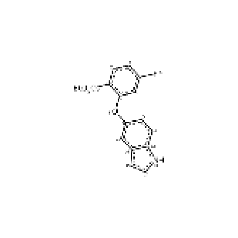 CCOC(=O)c1ccc(F)cc1Oc1ccc2[nH]ccc2c1